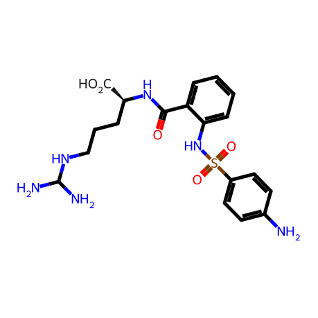 Nc1ccc(S(=O)(=O)Nc2ccccc2C(=O)N[C@@H](CCCNC(N)N)C(=O)O)cc1